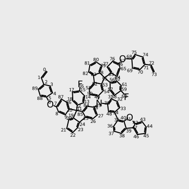 C=Cc1ccc(Oc2ccc(C3(c4ccc(F)cc4)c4ccccc4-c4ccc(N(c5cccc(-c6cccc7c6oc6ccccc67)c5)c5ccc6c(c5)C(c5ccc(F)cc5)(c5ccc(Oc7ccc(C=C)cc7)cc5)c5ccccc5-6)cc43)cc2)cc1